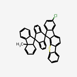 CC12C=CC=CC1C1(c3ccccc3C3(c4ccc(Cl)cc4-c4ccc5c(sc6ccccc65)c43)c3ccccc31)c1ccccc12